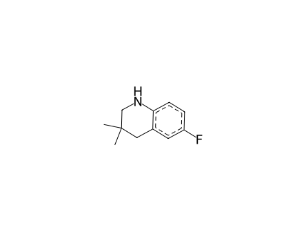 CC1(C)CNc2ccc(F)cc2C1